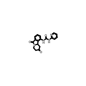 O=C1CCN2C(=O)c3cccc(NC(=O)Nc4ccccn4)c3C2C1